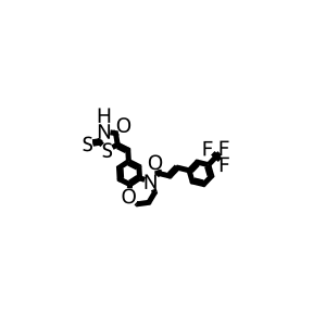 O=C1NC(=S)S/C1=C\c1ccc2c(c1)N(C(=O)/C=C/c1cccc(C(F)(F)F)c1)CCCO2